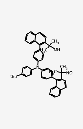 CC(C)(C)c1ccc(N(c2ccc(-c3c(C(C)(C)O)ccc4ccccc34)cc2)c2ccc(-c3c(C(C)(C)N=O)ccc4ccccc34)cc2)cc1